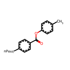 CCCCCc1ccc(C(=O)Oc2ccc(C)cc2)cc1